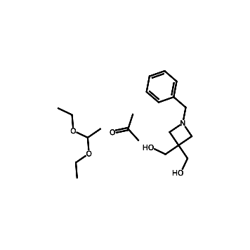 CC(C)=O.CCOC(C)OCC.OCC1(CO)CN(Cc2ccccc2)C1